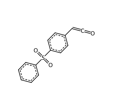 O=C=Cc1ccc(S(=O)(=O)c2ccccc2)cc1